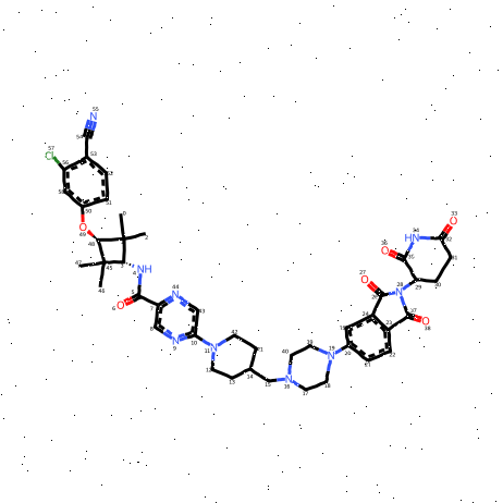 CC1(C)[C@H](NC(=O)c2cnc(N3CCC(CN4CCN(c5ccc6c(c5)C(=O)N(C5CCC(=O)NC5=O)C6=O)CC4)CC3)cn2)C(C)(C)[C@H]1Oc1ccc(C#N)c(Cl)c1